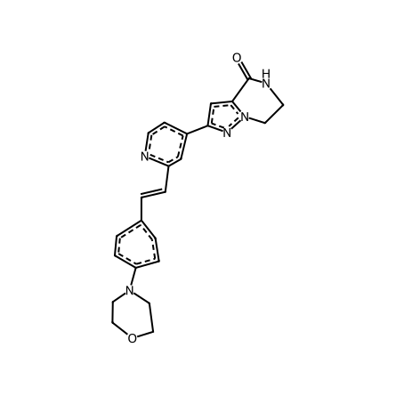 O=C1NCCn2nc(-c3ccnc(/C=C/c4ccc(N5CCOCC5)cc4)c3)cc21